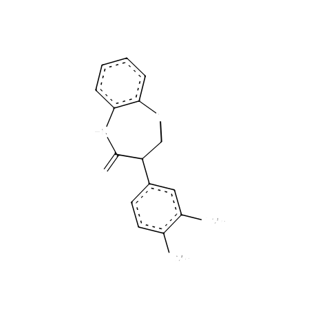 COc1ccc(C2CSc3ccccc3NC2=O)cc1OC